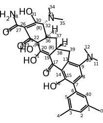 Cc1cc(C)cc(-c2cc(N(C)C)c3c(c2O)C(=O)C2=C(O)[C@@]4(O)C(=O)C(C(N)=O)=C(O)[C@H](N(C)C)[C@H]4C[C@@H]2C3)c1